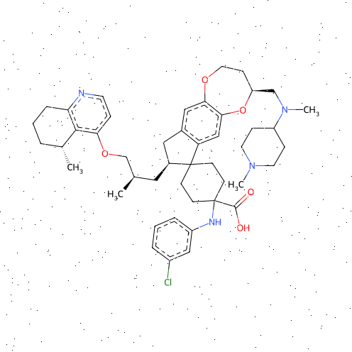 C[C@@H](COc1ccnc2c1[C@H](C)CCC2)C[C@H]1Cc2cc3c(cc2C12CCC(Nc1cccc(Cl)c1)(C(=O)O)CC2)O[C@H](CN(C)C1CCN(C)CC1)CCO3